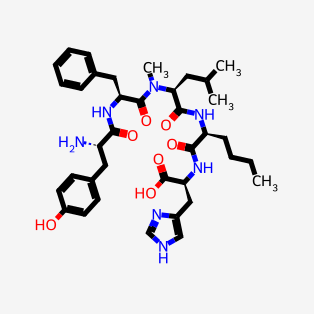 CCCC[C@H](NC(=O)[C@H](CC(C)C)N(C)C(=O)[C@H](Cc1ccccc1)NC(=O)[C@@H](N)Cc1ccc(O)cc1)C(=O)N[C@@H](Cc1c[nH]cn1)C(=O)O